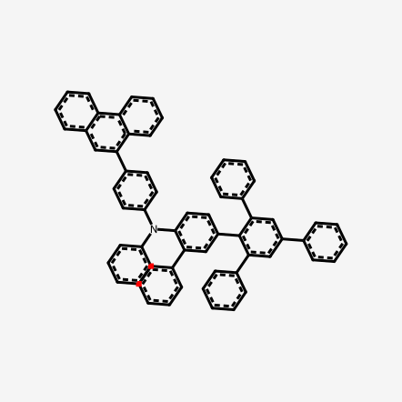 c1ccc(-c2cc(-c3ccccc3)c(-c3ccc(N(c4ccccc4)c4ccc(-c5cc6ccccc6c6ccccc56)cc4)c(-c4ccccc4)c3)c(-c3ccccc3)c2)cc1